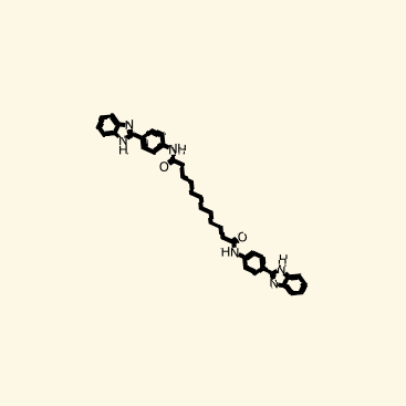 O=C(CCCCCCCCCCC(=O)Nc1ccc(-c2nc3ccccc3[nH]2)cc1)Nc1ccc(-c2nc3ccccc3[nH]2)cc1